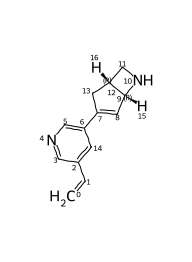 C=Cc1cncc(C2=C[C@H]3NC[C@H]3C2)c1